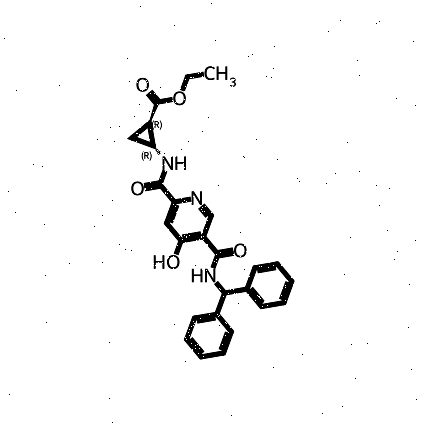 CCOC(=O)[C@@H]1C[C@H]1NC(=O)c1cc(O)c(C(=O)NC(c2ccccc2)c2ccccc2)cn1